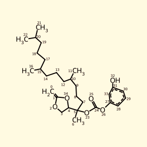 C=C1OCC(C(C)(CCCC(C)CCCC(C)CCCC(C)C)OC(=O)Oc2cccc(O)c2)O1